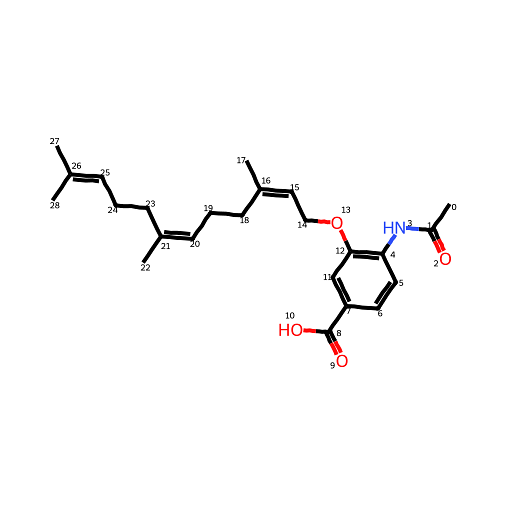 CC(=O)Nc1ccc(C(=O)O)cc1OCC=C(C)CCC=C(C)CCC=C(C)C